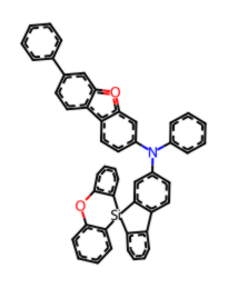 c1ccc(-c2ccc3c(c2)oc2cc(N(c4ccccc4)c4ccc5c(c4)[Si]4(c6ccccc6Oc6ccccc64)c4ccccc4-5)ccc23)cc1